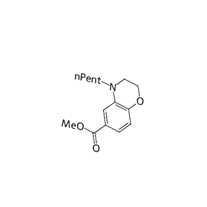 CCCCCN1CCOc2ccc(C(=O)OC)cc21